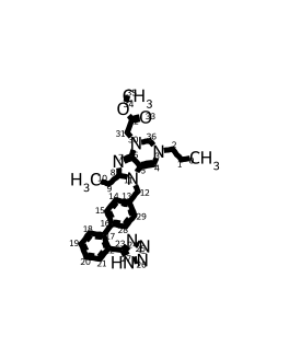 CCCN1C=C2C(=NC(CC)N2Cc2ccc(-c3ccccc3-c3nnn[nH]3)cc2)N(CC(=O)OC)C1